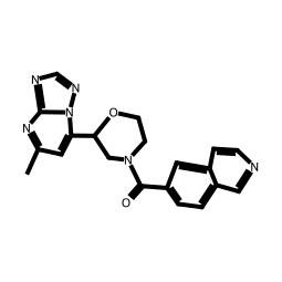 Cc1cc(C2CN(C(=O)c3ccc4cnccc4c3)CCO2)n2ncnc2n1